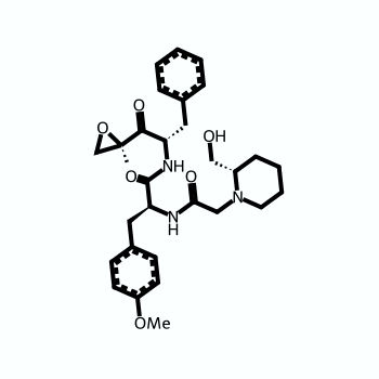 COc1ccc(C[C@H](NC(=O)CN2CCCC[C@H]2CO)C(=O)N[C@@H](Cc2ccccc2)C(=O)[C@@]2(C)CO2)cc1